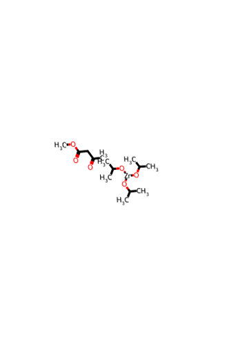 CC(C)[O][Zr]([O]C(C)C)[O]C(C)C.COC(=O)CC(C)=O